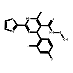 CC1=C(C(=O)NSO)C(c2ccc(F)cc2Cl)N=C(c2nccs2)N1